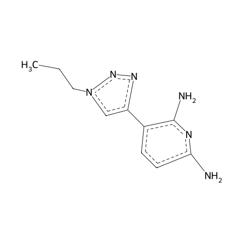 CCCn1cc(-c2ccc(N)nc2N)nn1